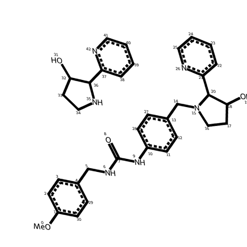 COc1ccc(CNC(=O)Nc2ccc(CN3CCC(O)C3c3ccccn3)cc2)cc1.OC1CCNC1c1ccccn1